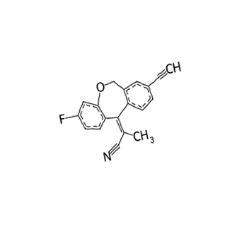 C#Cc1ccc2c(c1)COc1cc(F)ccc1/C2=C(/C)C#N